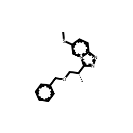 CSc1ccc2nnc([C@H](C)COCc3ccccc3)n2c1